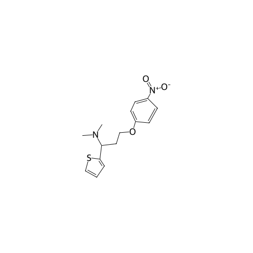 CN(C)C(CCOc1ccc([N+](=O)[O-])cc1)c1cccs1